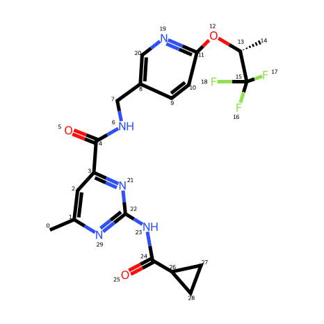 Cc1cc(C(=O)NCc2ccc(O[C@H](C)C(F)(F)F)nc2)nc(NC(=O)C2CC2)n1